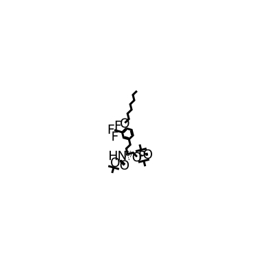 CCCCCCCOc1ccc(CC[C@@](C)(COP(=O)(C(C)(C)C)C(C)(C)C)NC(=O)OC(C)(C)C)cc1C(F)(F)F